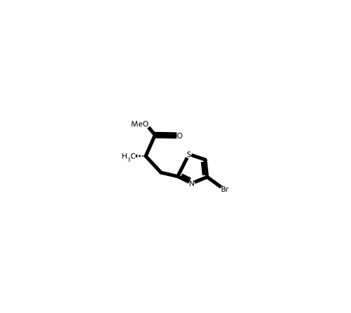 COC(=O)[C@@H](C)Cc1nc(Br)cs1